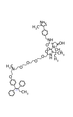 CC/C(=C(\c1ccccc1)c1ccc(OCCN(C)CCOCCOCCOCCOCC(=O)N[C@H](C(=O)N2C[C@H](O)C[C@H]2C(=O)NCc2ccc(-c3scnc3C)cc2)C(C)(C)C)cc1)c1ccccc1